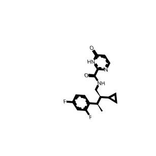 C[C@@H](c1ccc(F)cc1F)[C@@H](CNC(=O)c1nccc(=O)[nH]1)C1CC1